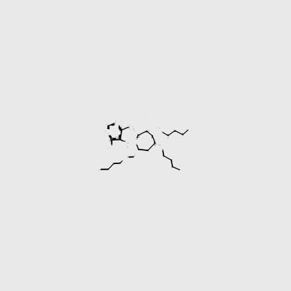 CCCCOC[C@@H]1C[C@H](OCCCC)[C@@H](OCCCC)[C@@H](O)[C@H](Nc2ncnc(Cl)c2N)O1